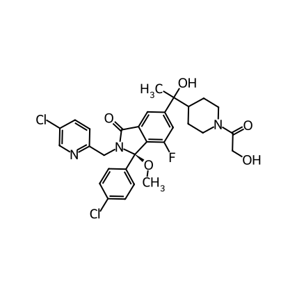 CO[C@]1(c2ccc(Cl)cc2)c2c(F)cc(C(C)(O)C3CCN(C(=O)CO)CC3)cc2C(=O)N1Cc1ccc(Cl)cn1